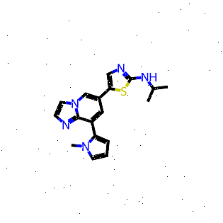 CC(C)Nc1ncc(-c2cc(-c3cccn3C)c3nccn3c2)s1